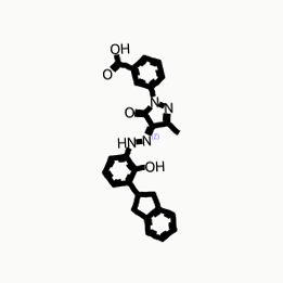 CC1=NN(c2cccc(C(=O)O)c2)C(=O)/C1=N\Nc1cccc(C2Cc3ccccc3C2)c1O